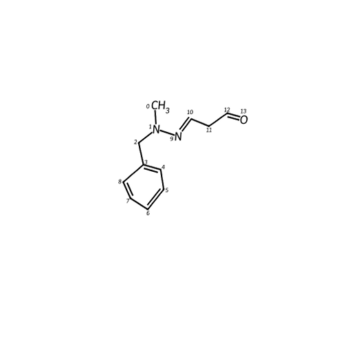 CN(Cc1ccccc1)/N=C/CC=O